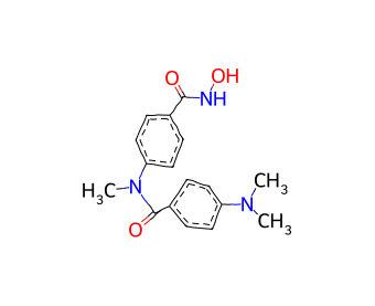 CN(C)c1ccc(C(=O)N(C)c2ccc(C(=O)NO)cc2)cc1